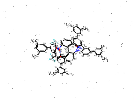 Cc1cc(C)cc(-c2ccc3c(c2)c2cc(-c4cc(C)cc(C)c4)ccc2n3-c2cccc(C#N)c2-c2c(-c3cc(C(F)(F)F)cc(C(F)(F)F)c3)cccc2-n2c3ccc(-c4cc(C)cc(C)c4)cc3c3cc(-c4cc(C)cc(C)c4)ccc32)c1